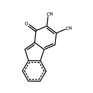 N#CC1=C(C#N)C(=O)C2=Cc3ccccc3C2=C1